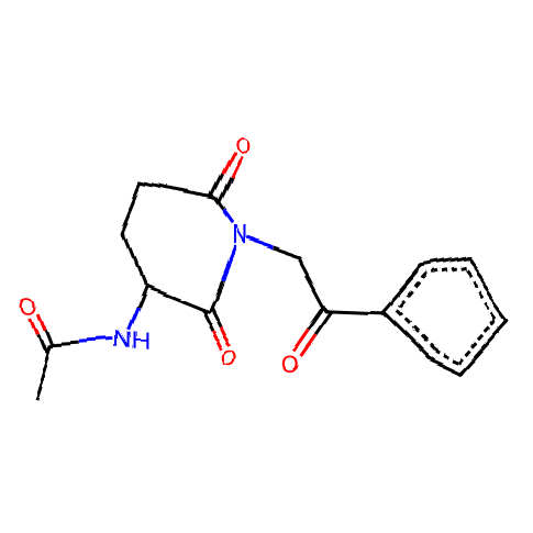 CC(=O)NC1CCC(=O)N(CC(=O)c2ccccc2)C1=O